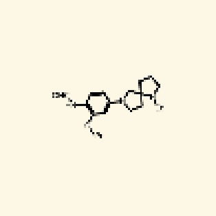 CCN1CCCC12CCN(c1ccc(NC=O)c(OC(C)C)c1)C2